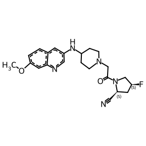 COc1ccc2cc(NC3CCN(CC(=O)N4C[C@@H](F)C[C@H]4C#N)CC3)cnc2c1